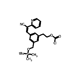 CC(C)(C)[Si](C)(C)OCc1cc(C=C(C#N)c2ccccn2)cc(CCOC(=O)Cl)c1